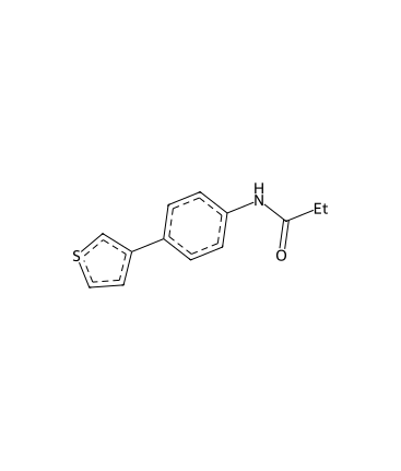 CCC(=O)Nc1ccc(-c2ccsc2)cc1